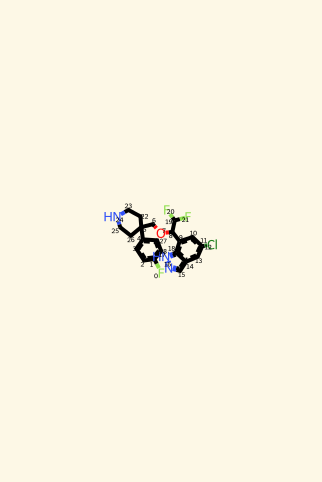 Fc1ccc(C2(COC(c3cc(Cl)cc4cn[nH]c34)C(F)F)CCNCC2)cc1